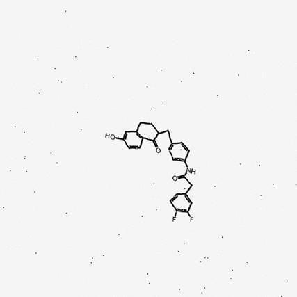 O=C(Cc1ccc(F)c(F)c1)Nc1ccc(CC2CCc3cc(O)ccc3C2=O)cc1